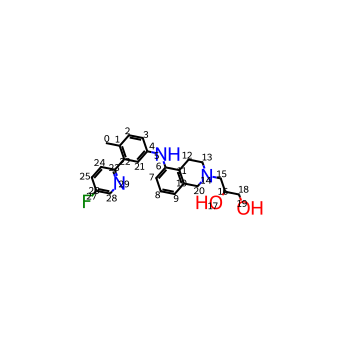 Cc1ccc(Nc2cccc3c2CCN(CC(O)CO)C3)cc1-c1ccc(F)cn1